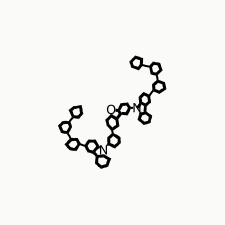 c1ccc(-c2cccc(-c3cccc(-c4ccc5c(c4)c4ccccc4n5-c4cccc(-c5ccc6oc7ccc(-n8c9ccccc9c9cc(-c%10cccc(-c%11cccc(-c%12ccccc%12)c%11)c%10)ccc98)cc7c6c5)c4)c3)c2)cc1